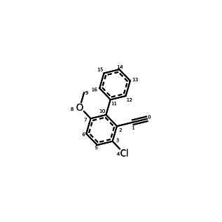 C#Cc1c(Cl)ccc(OC)c1-c1ccccc1